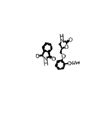 COc1ccccc1OCC1CNC(=O)O1.O=C1NC(=O)c2ccccc21